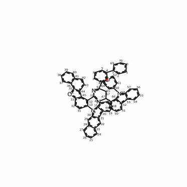 c1ccc(-c2cccc(C3=NC(c4c(-n5c6ccccc6c6cc7ccccc7cc65)ccc5oc6c7ccccc7ccc6c45)=NC(c4cccc5c6ccccc6n(-c6ccccc6)c45)C3)c2)cc1